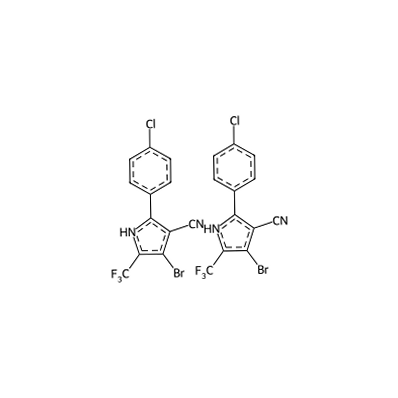 N#Cc1c(-c2ccc(Cl)cc2)[nH]c(C(F)(F)F)c1Br.N#Cc1c(-c2ccc(Cl)cc2)[nH]c(C(F)(F)F)c1Br